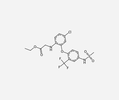 CCOC(=O)CNc1ccc(Cl)cc1Oc1ccc(NS(C)(=O)=O)cc1C(F)(F)F